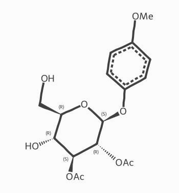 COc1ccc(O[C@@H]2O[C@H](CO)[C@@H](O)[C@H](OC(C)=O)[C@H]2OC(C)=O)cc1